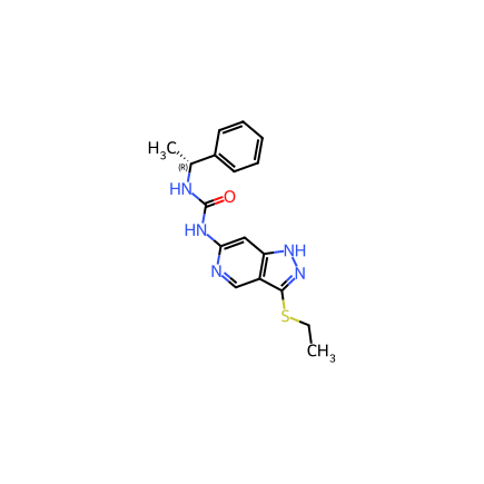 CCSc1n[nH]c2cc(NC(=O)N[C@H](C)c3ccccc3)ncc12